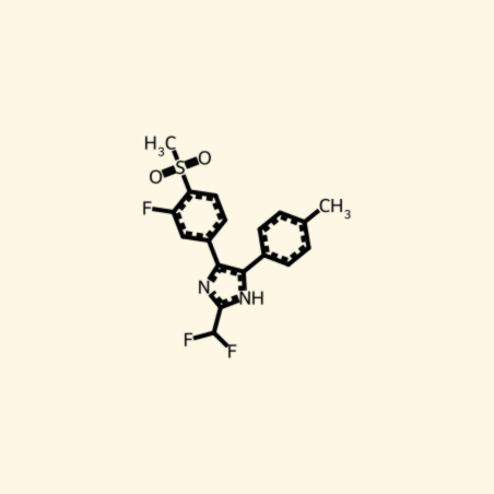 Cc1ccc(-c2[nH]c(C(F)F)nc2-c2ccc(S(C)(=O)=O)c(F)c2)cc1